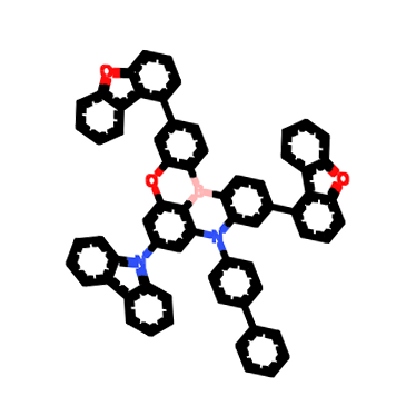 c1ccc(-c2ccc(N3c4cc(-c5cccc6oc7ccccc7c56)ccc4B4c5ccc(-c6cccc7oc8ccccc8c67)cc5Oc5cc(-n6c7ccccc7c7ccccc76)cc3c54)cc2)cc1